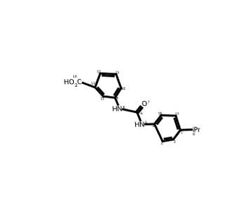 CC(C)c1ccc(NC(=O)Nc2cccc(C(=O)O)c2)cc1